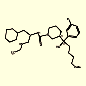 COCCCC[C@@](O)(c1cccc(Cl)c1)[C@@H]1CCCN(C(=O)NC(CNCC(F)(F)F)CC2CCCCC2)C1